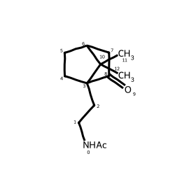 CC(=O)NCCC12CCC(CC1=O)C2(C)C